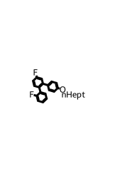 CCCCCCCOc1ccc(-c2cc(F)ccc2-c2ccccc2F)cc1